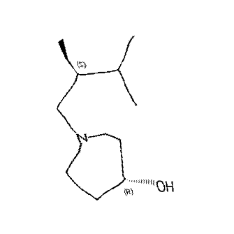 CC(C)[C@H](C)CN1CC[C@@H](O)C1